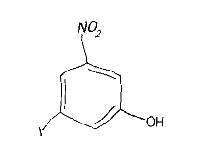 O=[N+]([O-])c1cc(O)cc(I)c1